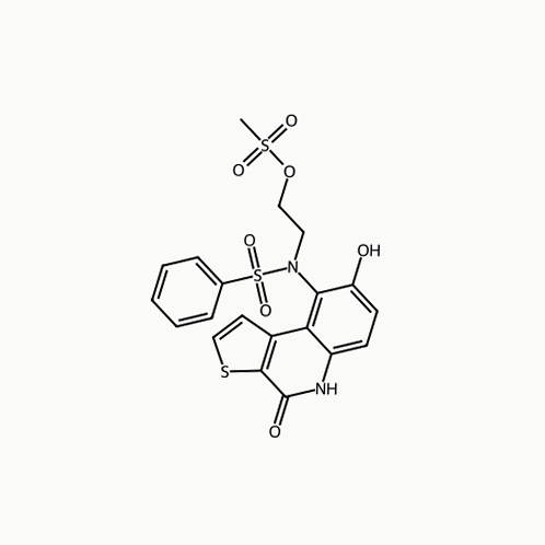 CS(=O)(=O)OCCN(c1c(O)ccc2[nH]c(=O)c3sccc3c12)S(=O)(=O)c1ccccc1